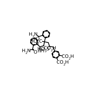 CCCC(c1ccccc1C(N)=O)C(C(=O)O)C(CC(Cc1ccc(C(=O)O)c(C(=O)O)c1)S(=O)(=O)O)(C(=O)O)c1ccccc1C(N)=O